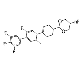 CCCC1COC(C2CC=C(C3C=C(F)C(c4cc(F)c(F)c(F)c4)=CC3C)CC2)OC1